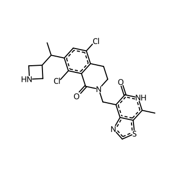 Cc1[nH]c(=O)c(CN2CCc3c(Cl)cc(C(C)C4CNC4)c(Cl)c3C2=O)c2ncsc12